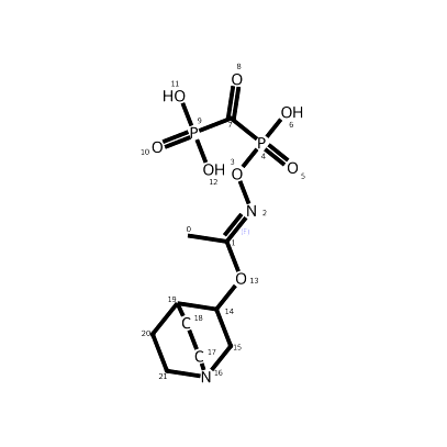 C/C(=N\OP(=O)(O)C(=O)P(=O)(O)O)OC1CN2CCC1CC2